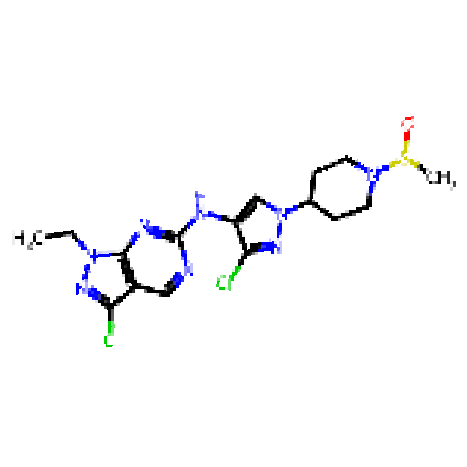 CCn1nc(Cl)c2cnc(Nc3cn(C4CCN([S+](C)[O-])CC4)nc3Cl)nc21